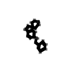 C1=Nc2ccc(OCc3ccccc3)cc2C12CCOCC2